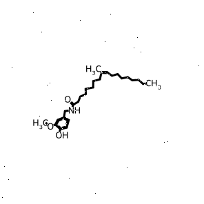 CCCCCCCC/C=C(/C)CCCCCCCC(=O)NCc1ccc(O)c(OC)c1